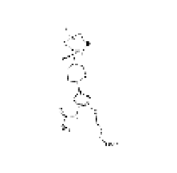 COCCCOc1nn(C2CCC([C@@]3(C)CNC[C@@H](C)O3)CC2)cc1OC(N)=O